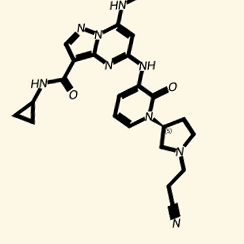 CNc1cc(Nc2cccn([C@H]3CCN(CCC#N)C3)c2=O)nc2c(C(=O)NC3CC3)cnn12